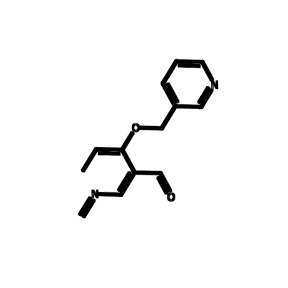 C=N/C=C(C=O)\C(=C/C)OCc1cccnc1